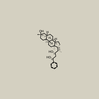 C[C@@H]([C@H]1CC[C@H]2[C@@H]3CC[C@H]4C[C@@](C)(O)CC[C@]4(C)[C@H]3CC[C@]12C)[C@@H](O)C[C@@H](O)c1ccccc1